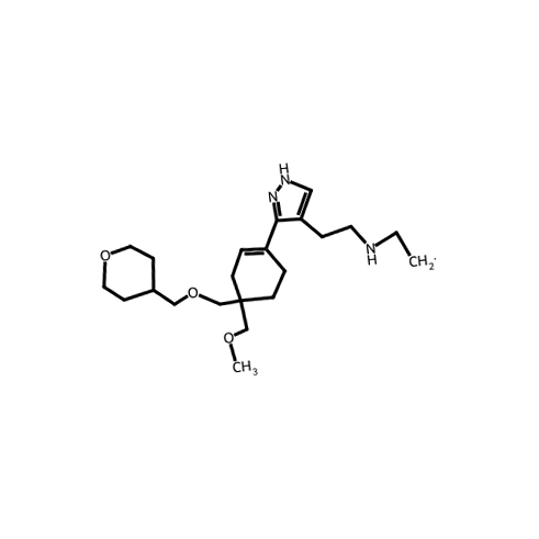 [CH2]CNCCc1c[nH]nc1C1=CCC(COC)(COCC2CCOCC2)CC1